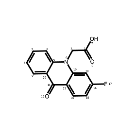 O=C(O)Cn1c2ccccc2c(=O)c2ccc(F)cc21